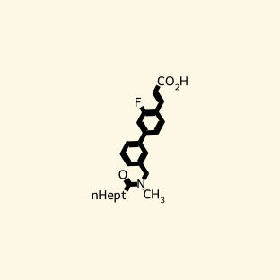 CCCCCCCC(=O)N(C)Cc1cccc(-c2ccc(/C=C/C(=O)O)c(F)c2)c1